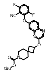 CC(C)(C)OC(=O)N1CCC2(CC1)CC(Oc1cnc3ccc(Oc4c(F)ccc(F)c4C#N)cc3n1)C2